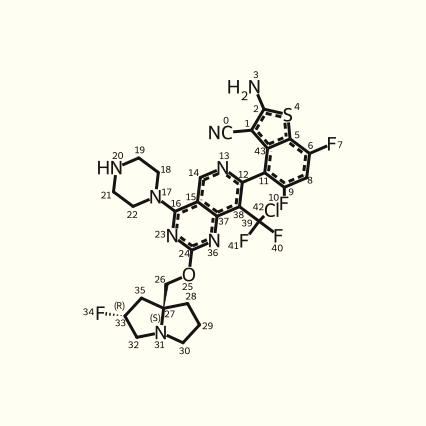 N#Cc1c(N)sc2c(F)cc(F)c(-c3ncc4c(N5CCNCC5)nc(OC[C@@]56CCCN5C[C@H](F)C6)nc4c3C(F)(F)Cl)c12